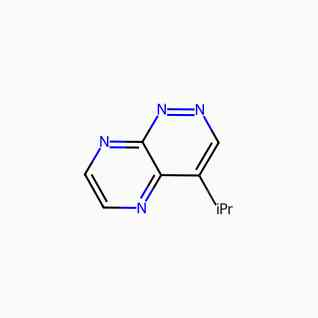 CC(C)c1cnnc2nccnc12